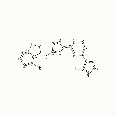 Cc1[nH]nnc1-c1ccnc(-c2cn(C[C@H]3CCc4cccc(C(C)C)c43)cn2)c1